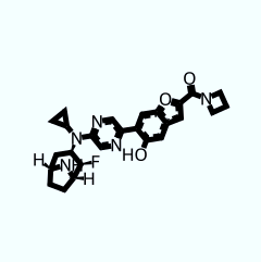 O=C(c1cc2cc(O)c(-c3cnc(N(C4CC4)[C@@H]4C[C@H]5CC[C@H](N5)[C@@H]4F)cn3)cc2o1)N1CCC1